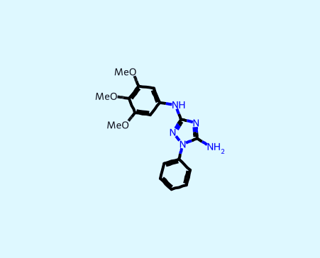 COc1cc(Nc2nc(N)n(-c3ccccc3)n2)cc(OC)c1OC